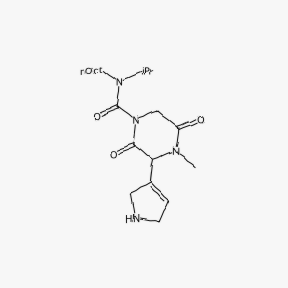 CCCCCCCCN(C(=O)N1CC(=O)N(C)C(C2=CCNC2)C1=O)C(C)C